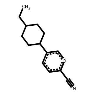 CCC1CCC(c2ccc(C#N)nc2)CC1